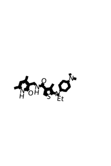 CCN(c1scc(C(=O)NCc2c(C)cc(C)[nH]c2=O)c1C)C1CCC(N(C)C)CC1